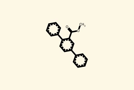 COC(=O)c1cc(-c2ccccc2)ccc1-c1ccccc1